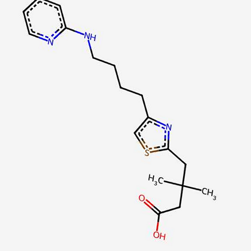 CC(C)(CC(=O)O)Cc1nc(CCCCNc2ccccn2)cs1